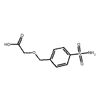 NS(=O)(=O)c1ccc(COCC(=O)O)cc1